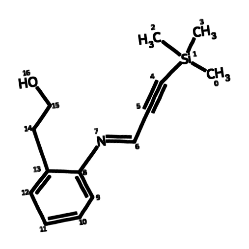 C[Si](C)(C)C#CC=Nc1ccccc1CCO